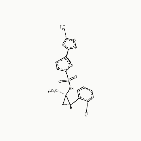 C[C@@]1(c2ccccc2Cl)C[C@]1(NS(=O)(=O)c1ccc(-c2cc(C(F)(F)F)on2)s1)C(=O)O